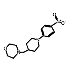 O=[N+]([O-])c1ccc(N2CCC(CN3CCOCC3)CC2)cc1